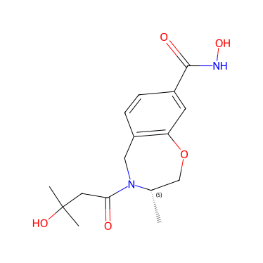 C[C@H]1COc2cc(C(=O)NO)ccc2CN1C(=O)CC(C)(C)O